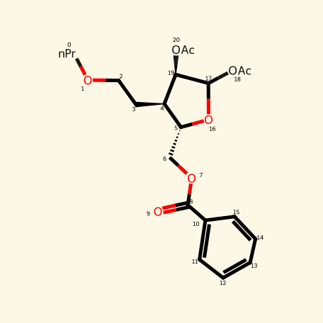 CCCOCC[C@@H]1[C@@H](COC(=O)c2ccccc2)OC(OC(C)=O)[C@@H]1OC(C)=O